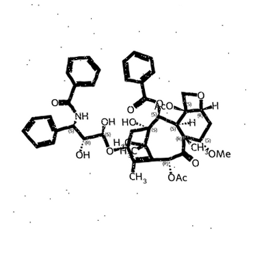 CO[C@H]1C[C@H]2OC[C@@]2(OC(C)=O)[C@@H]2[C@H](OC(=O)c3ccccc3)[C@]3(O)C[C@H](O[C@H](O)[C@H](O)[C@@H](NC(=O)c4ccccc4)c4ccccc4)C(C)=C([C@@H](OC(C)=O)C(=O)[C@@]12C)C3(C)C